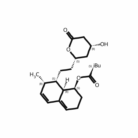 CC[C@H](C)C(=O)O[C@H]1CCC=C2C=C[C@H](C)[C@H](CC[C@H]3C[C@@H](O)CC(=O)O3)[C@H]21